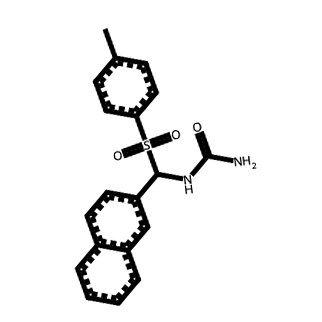 Cc1ccc(S(=O)(=O)C(NC(N)=O)c2ccc3ccccc3c2)cc1